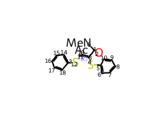 CNC(=O)/C(Sc1ccccc1)=C(/Sc1ccccc1)C(C)=O